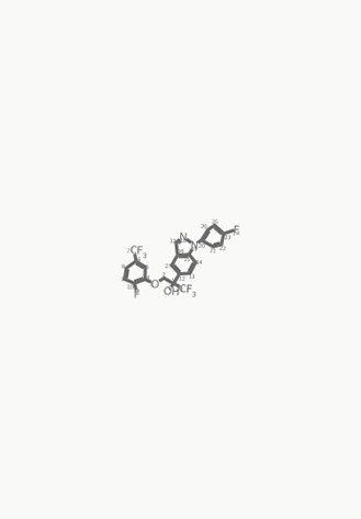 OC(COc1cc(C(F)(F)F)ccc1F)(c1ccc2c(cnn2-c2ccc(F)cc2)c1)C(F)(F)F